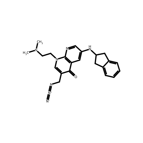 CN(C)CCn1cc(CN=[N+]=[N-])c(=O)c2cc(NC3Cc4ccccc4C3)cnc21